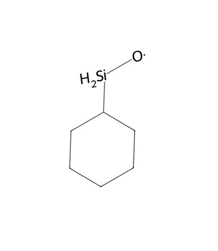 [O][SiH2]C1CCCCC1